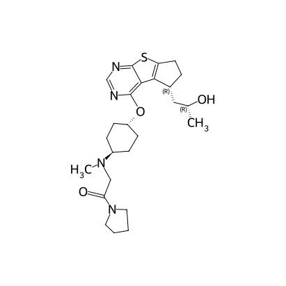 C[C@@H](O)C[C@H]1CCc2sc3ncnc(O[C@H]4CC[C@H](N(C)CC(=O)N5CCCC5)CC4)c3c21